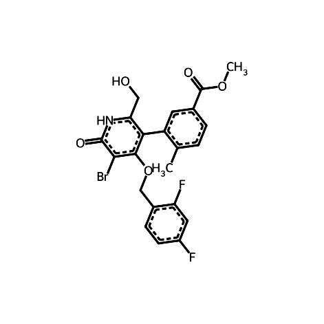 COC(=O)c1ccc(C)c(-c2c(CO)[nH]c(=O)c(Br)c2OCc2ccc(F)cc2F)c1